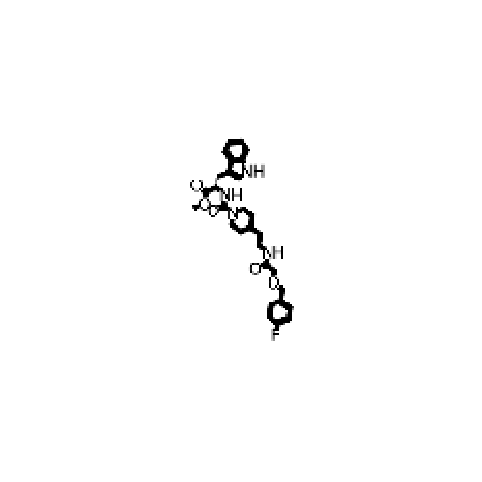 COC(=O)[C@H](Cc1c[nH]c2ccccc12)NC(=O)N1CCC(CCNC(=O)COCc2ccc(F)cc2)CC1